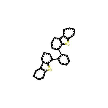 c1ccc(-c2cccc3c2sc2ccccc23)c(-c2cccc3c2sc2ccccc23)c1